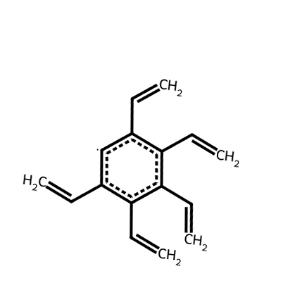 C=Cc1[c]c(C=C)c(C=C)c(C=C)c1C=C